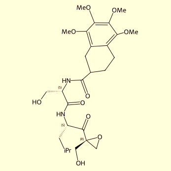 COc1c2c(c(OC)c(OC)c1OC)CC(C(=O)N[C@@H](CO)C(=O)N[C@@H](CC(C)C)C(=O)[C@@]1(CO)CO1)CC2